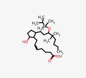 CCCCC(C)(C)C(CCC1CCC(O)C1C/C=C\CCCC(=O)O)O[Si](C)(C)C(C)C